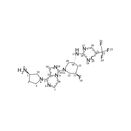 N[C@@H]1CCN(c2nccn3c(N4C[C@H](F)C[C@@H](Nc5ncc(C(F)(F)F)cn5)C4)ncc23)C1